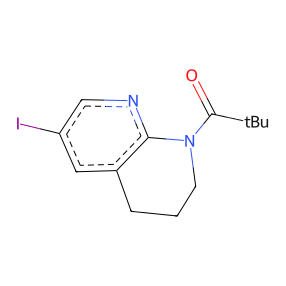 CC(C)(C)C(=O)N1CCCc2cc(I)cnc21